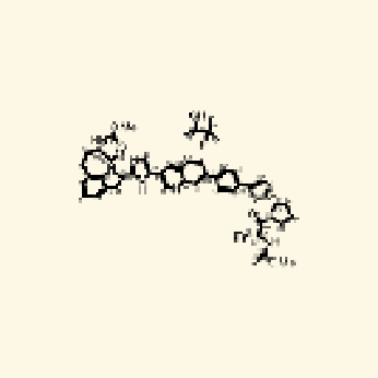 COC(=O)N[C@H]1CCc2cccc3c2N(C1=O)[C@H](c1ncc(-c2cnc4cc(-c5ccc(-c6cnc([C@@H]7CCCN7C(=O)[C@@H](NC(=O)OC)C(C)C)[nH]6)cc5)ccc4c2)[nH]1)C3.O=C(O)C(F)(F)F